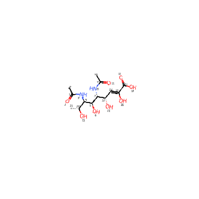 CC(=O)N[C@@H]([C@H](O)[C@H](NC(C)=O)[C@@H](O)/C=C(\O)C(=O)O)[C@@H](C)O